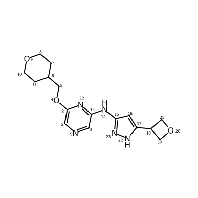 c1ncc(OCC2CCOCC2)nc1Nc1cc(C2COC2)[nH]n1